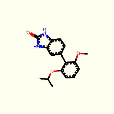 COc1cccc(OC(C)C)c1-c1ccc2[nH]c(=O)[nH]c2c1